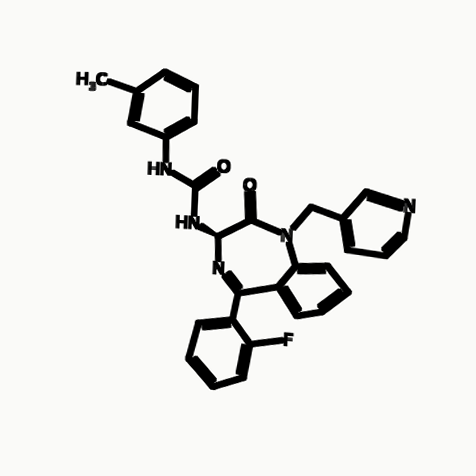 Cc1cccc(NC(=O)N[C@@H]2N=C(c3ccccc3F)c3ccccc3N(Cc3cccnc3)C2=O)c1